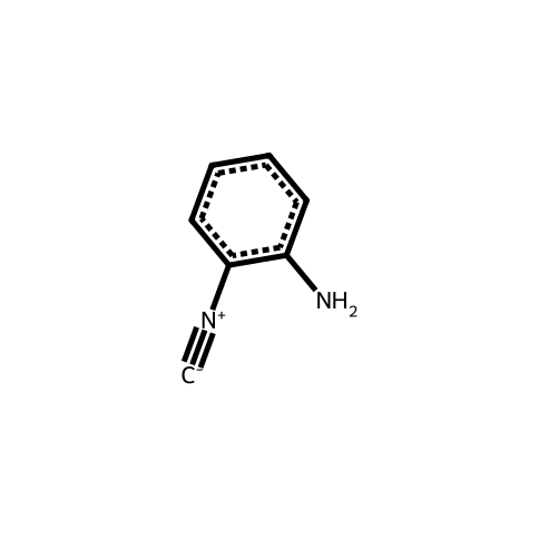 [C-]#[N+]c1ccccc1N